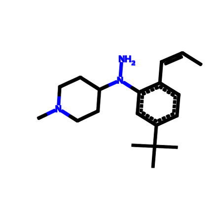 C/C=C\c1ccc(C(C)(C)C)cc1N(N)C1CCN(C)CC1